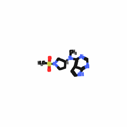 CN(c1ncnc2[nH]ccc12)[C@@H]1CCN(S(C)(=O)=O)C1